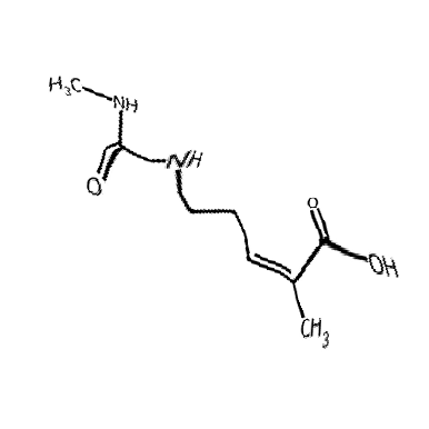 CNC(=O)NCCC=C(C)C(=O)O